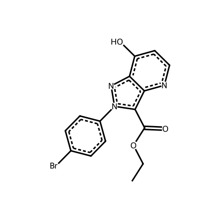 CCOC(=O)c1c2nccc(O)c2nn1-c1ccc(Br)cc1